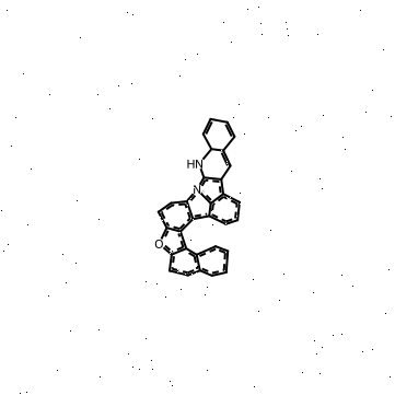 C1=CC2=Cc3c(n4c5ccc6oc7ccc8ccccc8c7c6c5c5cccc3c54)NC2C=C1